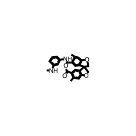 CNc1cccc(NC(=O)c2cc3c(cc2C)OCC32COc3cc(C)c(C(C)=O)cc32)c1